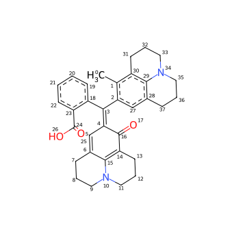 Cc1c(/C(=C2/C=C3CCCN4CCCC(=C34)C2=O)c2ccccc2C(=O)O)cc2c3c1CCCN3CCC2